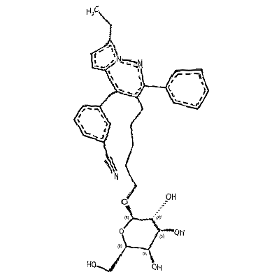 CCc1ccc2c(-c3cccc(C#N)c3)c(CCCCCO[C@@H]3O[C@H](CO)[C@H](O)[C@H](O)[C@H]3O)c(-c3ccccc3)nn12